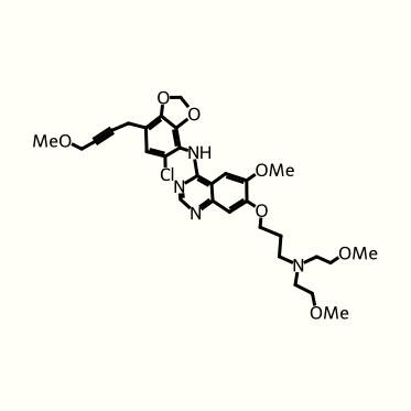 COCC#CCc1cc(Cl)c(Nc2ncnc3cc(OCCCN(CCOC)CCOC)c(OC)cc23)c2c1OCO2